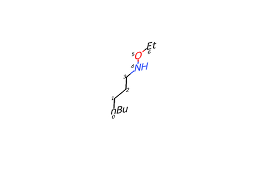 CCCCCCCNOCC